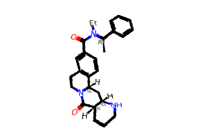 CCN(C(=O)c1ccc2c(c1)CCN1C(=O)[C@H]3CCCN[C@H]3C[C@@H]21)[C@H](C)c1ccccc1